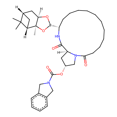 CC1(C)[C@@H]2C[C@H]3OB([C@@H]4CCCCCCCCCCC(=O)N5C[C@H](OC(=O)N6Cc7ccccc7C6)C[C@H]5C(=O)N4)O[C@@]3(C)[C@H]1C2